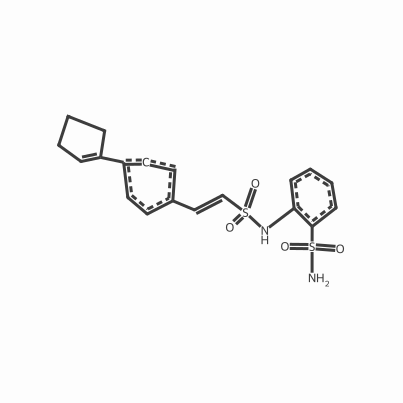 NS(=O)(=O)c1ccccc1NS(=O)(=O)C=Cc1ccc(C2=CCCC2)cc1